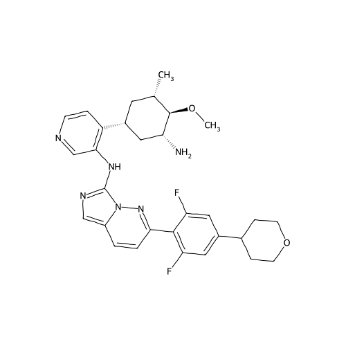 CO[C@H]1[C@H](N)C[C@H](c2ccncc2Nc2ncc3ccc(-c4c(F)cc(C5CCOCC5)cc4F)nn23)C[C@@H]1C